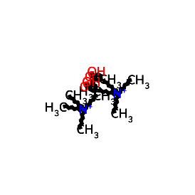 CCCCCCC[N+](CCCCCCC)(CCCCCCC)CCCCCCC.CCCCCCC[N+](CCCCCCC)(CCCCCCC)CCCCCCC.O=C(O)c1ccccc1Sc1ccccc1C(=O)O